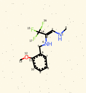 CN/C=C(\NCc1ccccc1OC)C(F)(F)F